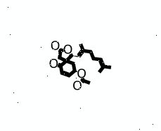 CC(=O)O[C@@H]1C=CC(=O)C2(CC(=O)O[C@@H]2/C=C(\C)CCC=C(C)C)C1